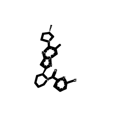 Cc1cn2nc([C@@H]3CCCCN3C(=O)c3cccc(Cl)n3)cc2nc1N1CC[C@H](C)C1